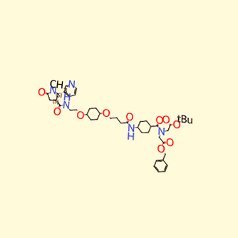 CN1C(=O)C[C@H](C(=O)NCCOC2CCC(OCCCC(=O)NC3CCC(C(=O)N(CC(=O)OCc4ccccc4)CC(=O)OC(C)(C)C)CC3)CC2)[C@H]1c1cccnc1